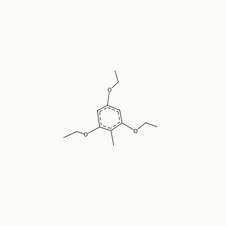 [CH2]c1c(OCC)cc(OCC)cc1OCC